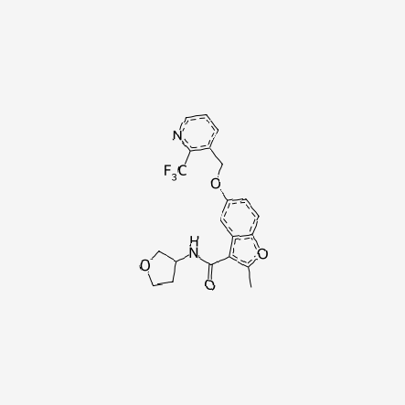 Cc1oc2ccc(OCc3cccnc3C(F)(F)F)cc2c1C(=O)NC1CCOC1